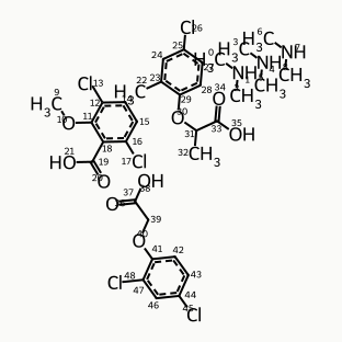 CNC.CNC.CNC.COc1c(Cl)ccc(Cl)c1C(=O)O.Cc1cc(Cl)ccc1OC(C)C(=O)O.O=C(O)COc1ccc(Cl)cc1Cl